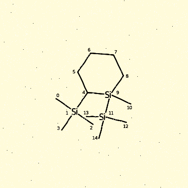 C[Si](C)(C)C1CCCC[Si]1(C)[Si](C)(C)C